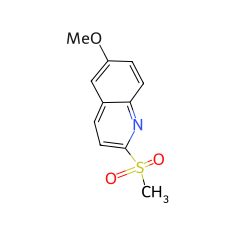 COc1ccc2nc(S(C)(=O)=O)ccc2c1